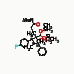 CNC(=O)CCC[C@@](c1ccc(F)cc1)([C@H](C)[C@H](O)c1ccccc1)C(C)(C)C(O[SiH2]C)O[SiH2]C